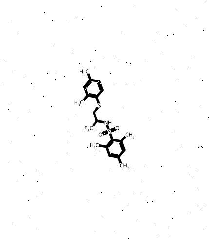 Cc1ccc(SCC(NS(=O)(=O)c2c(C)cc(C)cc2C)C(F)(F)F)c(C)c1